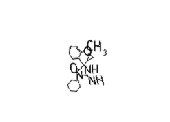 COc1ccccc1C1(C2CC2)NC(=N)N(C2CCCCC2)C1=O